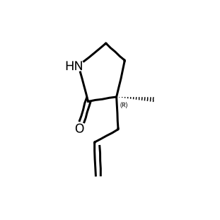 C=CC[C@]1(C)CCNC1=O